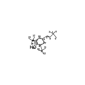 CC(C)(C)C=Cc1cc(C(C)(C)C)c(O)c(C(C)(C)C)c1